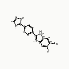 Fc1cc2nc(-c3ccc(-c4nccs4)cc3)[nH]c2cc1F